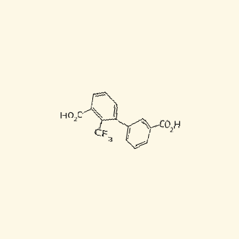 O=C(O)c1cccc(-c2cccc(C(=O)O)c2C(F)(F)F)c1